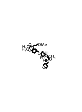 COCCCN1C(=O)C(C)(C)Oc2ccc(CO[C@@H]3CC[C@@H](CC(C)(C)C(=O)NCC4CCOCC4)NC3)cc21